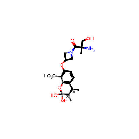 C[C@@H]1c2ccc(OC3CN(C(=O)C(C)(N)CO)C3)c(C(=O)O)c2O[B-](O)(O)[C@@H]1C